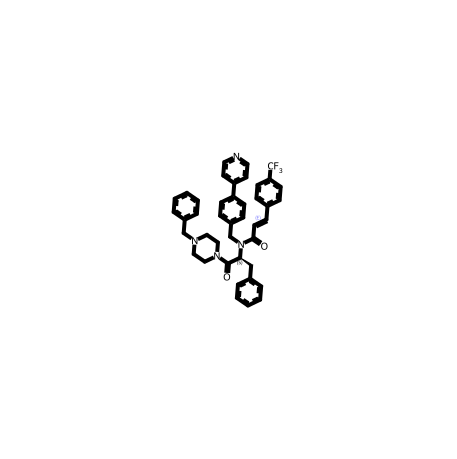 O=C([C@H](Cc1ccccc1)N(Cc1ccc(-c2ccncc2)cc1)C(=O)/C=C/c1ccc(C(F)(F)F)cc1)N1CCN(Cc2ccccc2)CC1